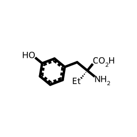 CC[C@](N)(Cc1cccc(O)c1)C(=O)O